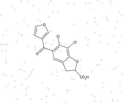 O=C(c1ccoc1)c1cc2c(c(Cl)c1Cl)OC(C(=O)O)C2